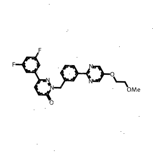 COCCOc1cnc(-c2cccc(Cn3nc(-c4cc(F)cc(F)c4)ccc3=O)c2)nc1